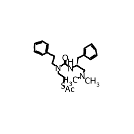 CC(=O)SCCN(CCc1ccccc1)C(=O)N[C@@H](Cc1ccccc1)CN(C)C